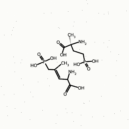 C/C(=C\C(N)C(=O)O)CP(=O)(O)O.C[C@](N)(CCP(=O)(O)O)C(=O)O